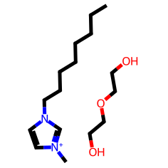 CCCCCCCCn1cc[n+](C)c1.OCCOCCO